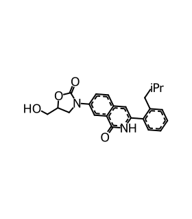 CC(C)Cc1ccccc1-c1cc2ccc(N3CC(CO)OC3=O)cc2c(=O)[nH]1